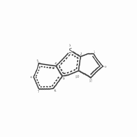 C1=Cc2sc3ccccc3c2C=1